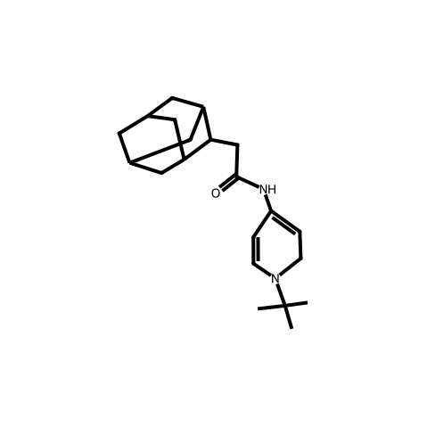 CC(C)(C)N1C=CC(NC(=O)CC2C3CC4CC(C3)CC2C4)=CC1